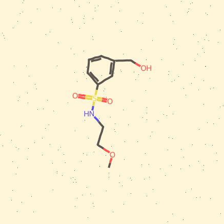 COCCNS(=O)(=O)c1cccc(CO)c1